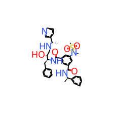 C[C@H](NC[C@@H](O)[C@H](Cc1ccccc1)NC(=O)c1cc(C(=O)N[C@H](C)c2ccccc2)cc(N(C)S(C)(=O)=O)c1)c1cccnc1